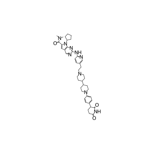 CN(C)C(=O)c1cc2cnc(Nc3ccc(CCN4CCC(C5CCN(c6ccc(C7CCC(=O)NC7=O)cc6)CC5)CC4)cn3)nc2n1C1CCCC1